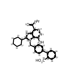 CCCC(=O)c1nnc(O)c2c1nc(C1CCCCC1)n2Cc1ccc(-c2ccccc2C(=O)O)cc1